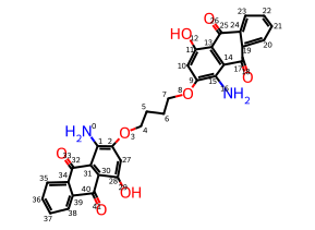 Nc1c(OCCCCOc2cc(O)c3c(c2N)C(=O)c2ccccc2C3=O)cc(O)c2c1C(=O)c1ccccc1C2=O